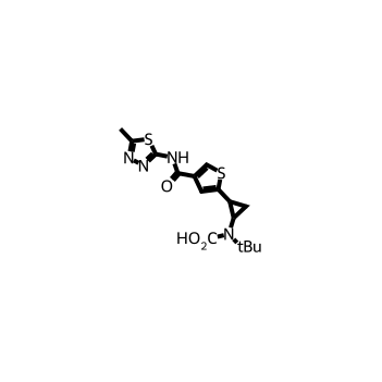 Cc1nnc(NC(=O)c2csc(C3CC3N(C(=O)O)C(C)(C)C)c2)s1